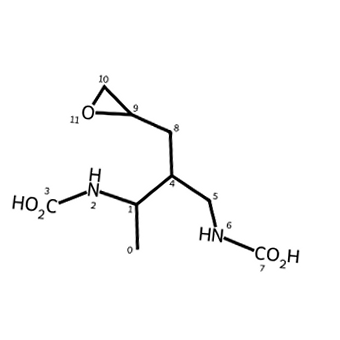 CC(NC(=O)O)C(CNC(=O)O)CC1CO1